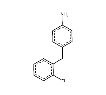 Nc1ccc(Cc2ccccc2Cl)cc1